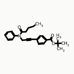 CCCCC(=O)N(CC#Cc1ccc(C(=O)OC(C)(C)C)cc1)c1ccccc1